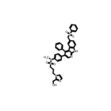 CN(c1ccc(-c2cnc3[nH]c4ccc(CS(=O)(=O)c5ccccc5)cc4c3c2-c2ccccc2)cc1)S(=O)(=O)CCCn1ccnc1CO